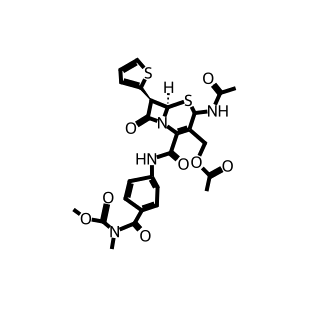 COC(=O)N(C)C(=O)c1ccc(NC(=O)C2=C(COC(C)=O)C(NC(C)=O)S[C@@H]3[C@H](c4cccs4)C(=O)N23)cc1